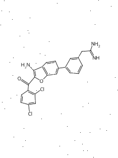 N=C(N)Cc1cccc(-c2ccc3c(N)c(C(=O)c4ccc(Cl)cc4Cl)oc3c2)c1